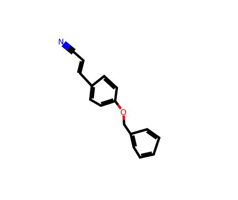 N#CC=Cc1ccc(OCc2ccccc2)cc1